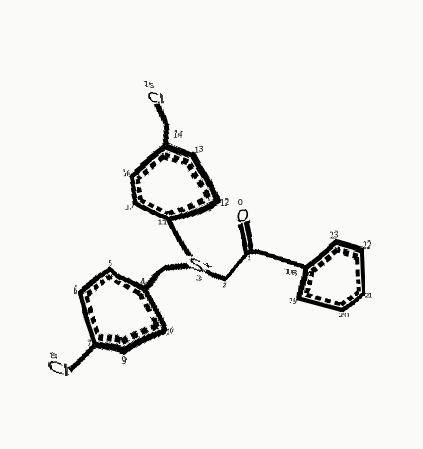 O=C(C[S+](c1ccc(Cl)cc1)c1ccc(Cl)cc1)c1ccccc1